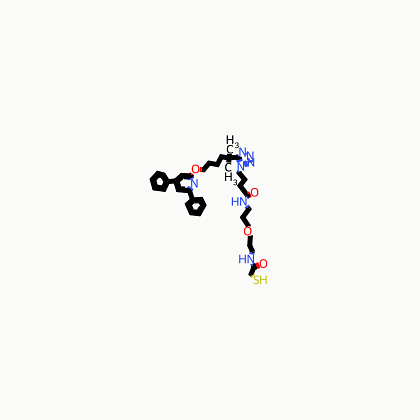 CC(C)(CCCCOc1cc(-c2ccccc2)cc(-c2ccccc2)n1)c1nnnn1CCCC(=O)NCCCOCCCNC(=O)CS